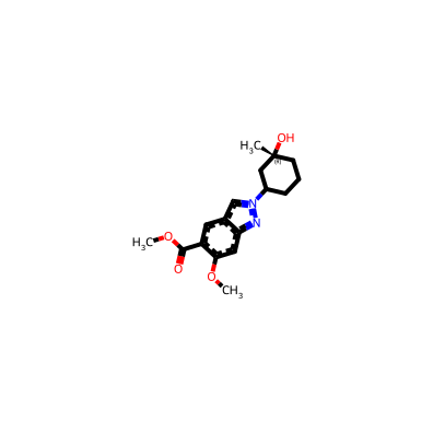 COC(=O)c1cc2cn(C3CCC[C@@](C)(O)C3)nc2cc1OC